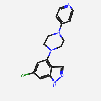 Clc1cc(N2CCN(c3ccncc3)CC2)c2cn[nH]c2c1